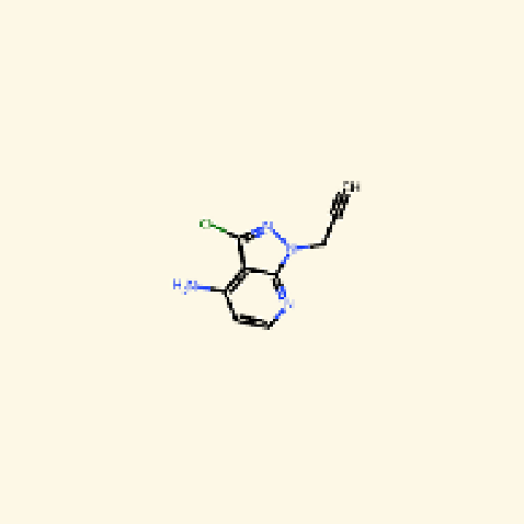 C#CCn1nc(Cl)c2c(N)ccnc21